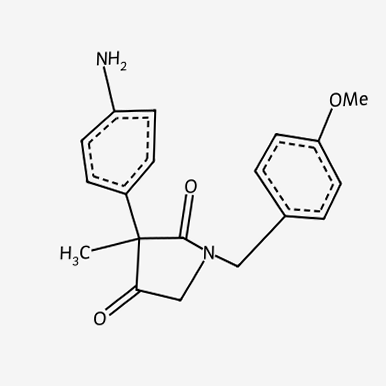 COc1ccc(CN2CC(=O)C(C)(c3ccc(N)cc3)C2=O)cc1